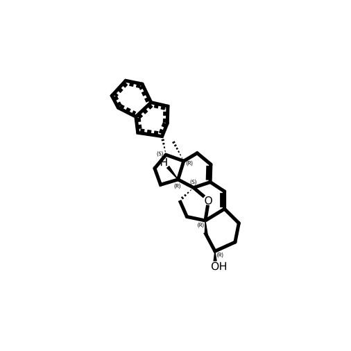 C[C@]12CC=C3C=C4CC[C@@H](O)C[C@]45CC[C@]3(O5)[C@@H]1CC[C@@H]2c1ccc2ccccc2c1